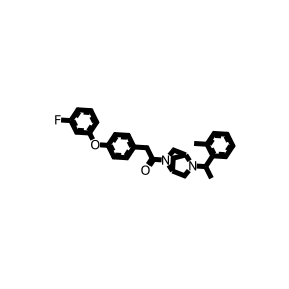 Cc1ccccc1C(C)N1CC2CC1CN2C(=O)Cc1ccc(Oc2cccc(F)c2)cc1